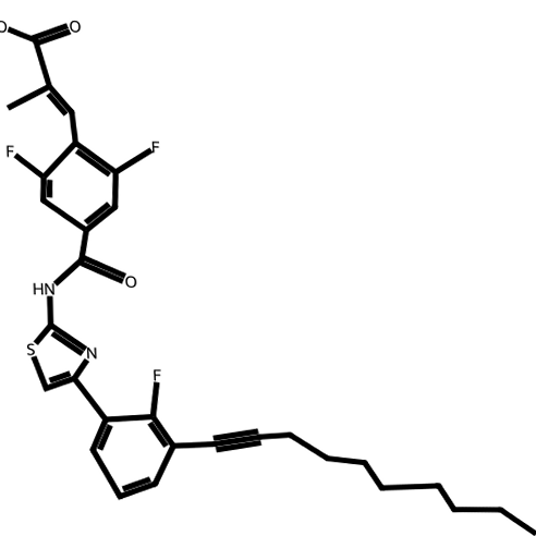 CCCCCCCCC#Cc1cccc(-c2csc(NC(=O)c3cc(F)c(C=C(C)C(=O)O)c(F)c3)n2)c1F